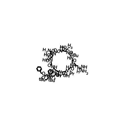 CC[C@H](C)[C@@H]1NC(=O)[C@@H](CCCNC(=N)N)NC(=O)[C@H](CC(C)C)NC(=O)[C@H]([C@H](O)C(C)C)NC(=O)[C@@H](NC(=O)[C@H](CC(C)(C)C)NC[C@@H](CC(C)(C)C)NC(=O)OCc2ccccc2)[C@@H](c2ccccc2)NC(=O)[C@H](CO)NC(=O)[C@H]([C@H](O)C(N)=O)NC(=O)CNC(=O)[C@H]([C@H](C)O)NC1=O